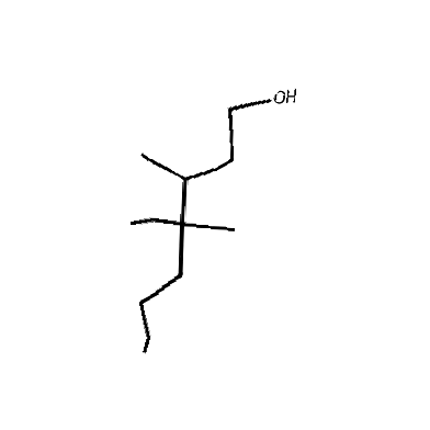 CCCC(C)(C)C(C)CCO